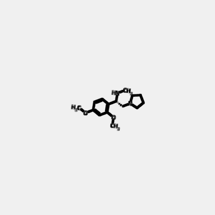 CN[C@H](CN1CCCC1)c1ccc(OC)cc1OC